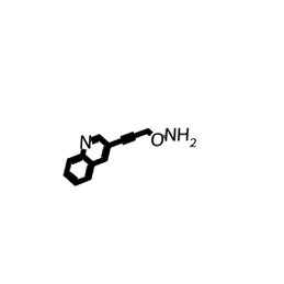 NOCC#Cc1cnc2ccccc2c1